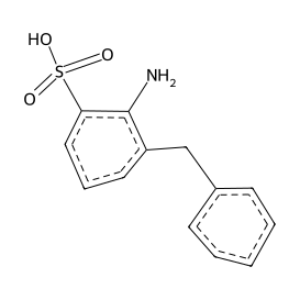 Nc1c(Cc2ccccc2)cccc1S(=O)(=O)O